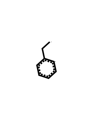 [CH2]Cc1[c]cccc1